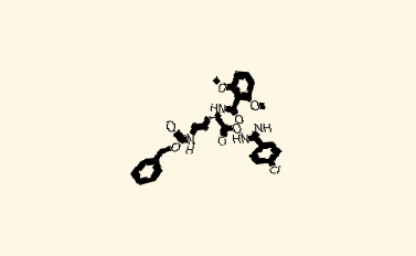 COc1cccc(OC)c1C(=O)N[C@@H](CCCNC(=O)OCc1ccccc1)C(=O)ONC(=N)c1ccc(Cl)cc1